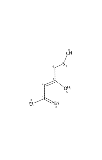 CCC(=N)/C=C(\O)CSC#N